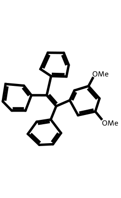 COc1cc(OC)cc(C(=C(c2ccccc2)c2ccccc2)c2ccccc2)c1